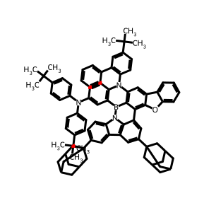 CC(C)(C)c1ccc(N(c2ccc(C(C)(C)C)cc2)c2ccc3c(c2)B2c4c(cc5c(oc6ccccc65)c4-c4cc(C56CC7CC(CC(C7)C5)C6)cc5c6cc(C78CC9CC(CC(C9)C7)C8)ccc6n2c45)N3c2ccc(C(C)(C)C)cc2-c2ccccc2)cc1